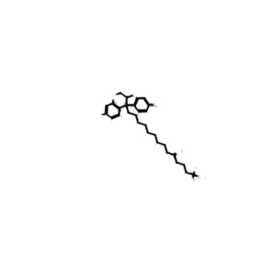 CC1COc2cc(O)ccc2C1(CCCCCCCCCC(=O)CCCC(F)(F)C(F)(F)F)c1ccc(O)cc1